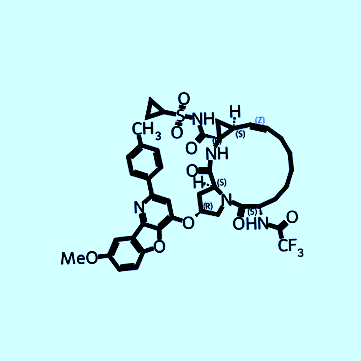 COc1ccc2oc3c(O[C@@H]4C[C@H]5C(=O)N[C@]6(C(=O)NS(=O)(=O)C7CC7)C[C@H]6/C=C\CCCCC[C@H](NC(=O)C(F)(F)F)C(=O)N5C4)cc(-c4ccc(C)cc4)nc3c2c1